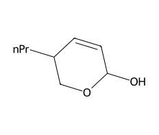 CCCC1C=CC(O)OC1